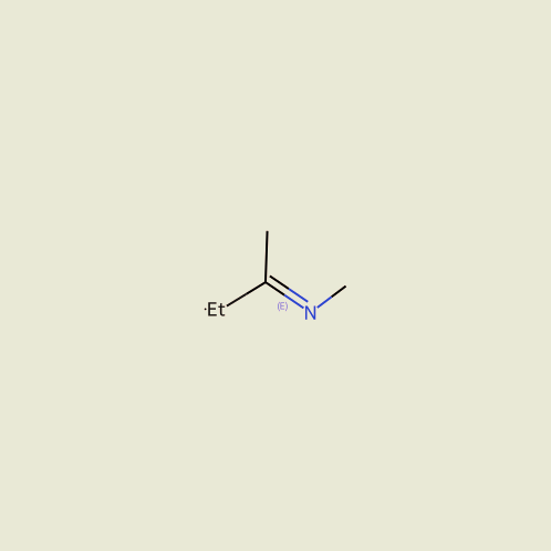 C[CH]/C(C)=N/C